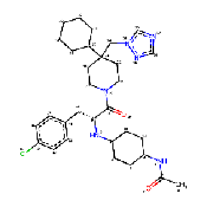 CC(=O)NC1CCC(N[C@H](Cc2ccc(Cl)cc2)C(=O)N2CCC(Cn3cncn3)(C3CCCCC3)CC2)CC1